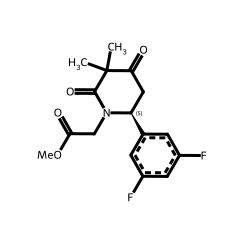 COC(=O)CN1C(=O)C(C)(C)C(=O)C[C@H]1c1cc(F)cc(F)c1